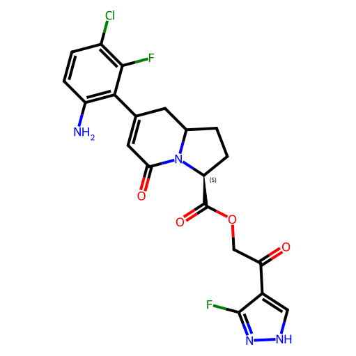 Nc1ccc(Cl)c(F)c1C1=CC(=O)N2C(CC[C@H]2C(=O)OCC(=O)c2c[nH]nc2F)C1